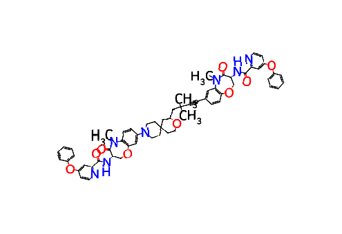 CN1C(=O)C(NC(=O)c2cc(Oc3ccccc3)ccn2)COc2cc(N3CCC4(CCOC(CC(C)(C)C#Cc5ccc6c(c5)N(C)C(=O)C(NC(=O)c5cc(Oc7ccccc7)ccn5)CO6)C4)CC3)ccc21